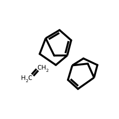 C1=C2CCC(=C1)C2.C1=CC2CCC1C2.C=C